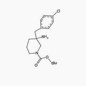 CC(C)(C)OC(=O)N1CCCC(N)(Cc2ccc(Cl)cc2)C1